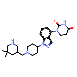 CC1(C)CNCC(CN2CCC(n3ncc4c(N5CCC(=O)NC5=O)cccc43)CC2)C1